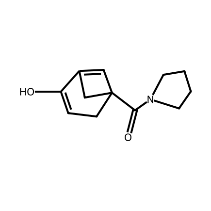 O=C(N1CCCC1)C12C=C(C1)C(O)=CC2